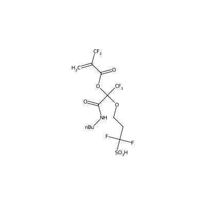 C=C(C(=O)OC(OCCC(F)(F)S(=O)(=O)O)(C(=O)NCCCC)C(F)(F)F)C(F)(F)F